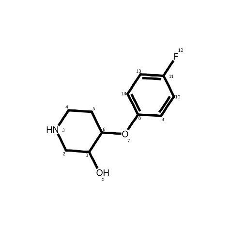 OC1CNCCC1Oc1ccc(F)cc1